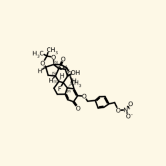 CC1(C)O[C@H]2C[C@H]3[C@@H]4CCC5=CC(=O)C(OCc6ccc(CO[N+](=O)[O-])cc6)=C6OCC(=O)[C@]2(O1)[C@]3(C)C[C@@H](O)C4(F)[C@]56C